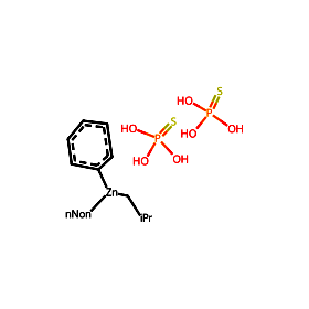 CCCCCCCC[CH2][Zn]([CH2]C(C)C)[c]1ccccc1.OP(O)(O)=S.OP(O)(O)=S